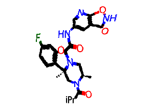 CC(C)C(=O)N1C[C@@](C)(c2ccc(F)cc2)N(C(=O)C(=O)Nc2cnc3o[nH]c(=O)c3c2)C[C@H]1C